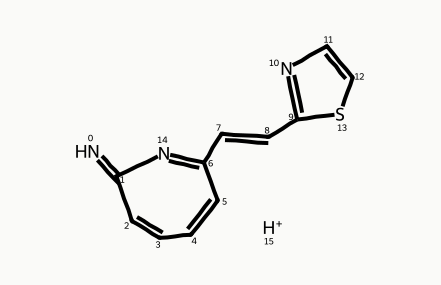 N=c1ccccc(C=Cc2nccs2)n1.[H+]